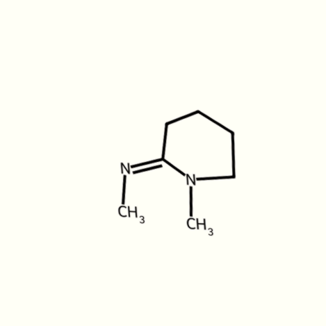 C/N=C1/CCCCN1C